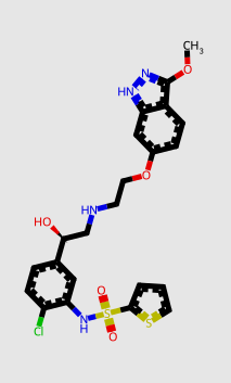 COc1n[nH]c2cc(OCCNC[C@H](O)c3ccc(Cl)c(NS(=O)(=O)c4cccs4)c3)ccc12